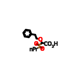 CCCS(=O)(=O)C(OCCc1ccccc1)C(=O)O